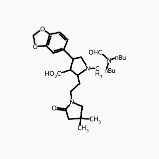 CCCCN(C=O)CCCC.CN1CC(c2ccc3c(c2)OCO3)C(C(=O)O)C1CCN1CC(C)(C)CC1=O